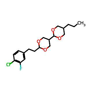 CCCC1COC(C2COC(CCc3ccc(Cl)c(F)c3)OC2)OC1